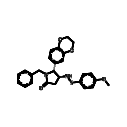 COc1ccc(SN[C@H]2CC(=O)N(Cc3ccccc3)[C@@H]2c2ccc3c(c2)OCCO3)cc1